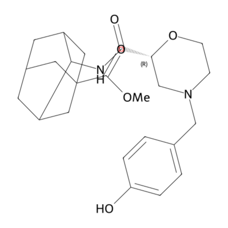 COC(=O)C12CC3CC(C1)C(NC(=O)[C@H]1CN(Cc4ccc(O)cc4)CCO1)C(C3)C2